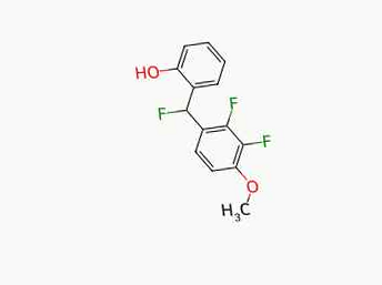 COc1ccc(C(F)c2ccccc2O)c(F)c1F